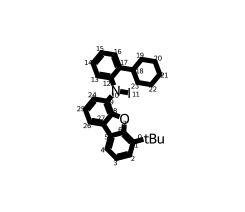 CC(C)(C)c1cccc2c1oc1c(N(I)c3ccccc3C3CCCCC3)cccc12